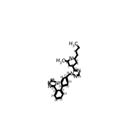 CCCCCCC(CC(C)N)c1ncnn1Cc1ccc(-c2ccccc2-c2nnn[nH]2)cc1